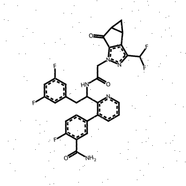 NC(=O)c1cc(-c2cccnc2C(Cc2cc(F)cc(F)c2)NC(=O)Cn2nc(C(F)F)c3c2C(=O)C2CC32)ccc1F